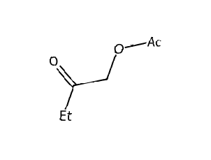 CCC(=O)COC(C)=O